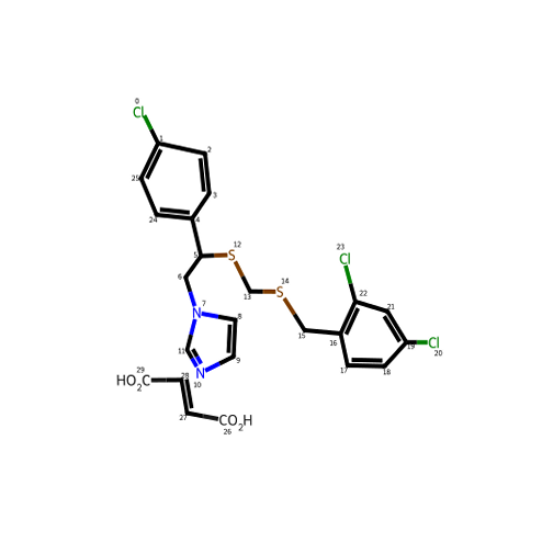 Clc1ccc(C(Cn2ccnc2)SCSCc2ccc(Cl)cc2Cl)cc1.O=C(O)/C=C/C(=O)O